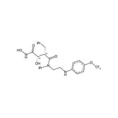 CC(C)C[C@H](C(=O)N(CCNc1ccc(OC(F)(F)F)cc1)C(C)C)[C@H](O)C(=O)NO